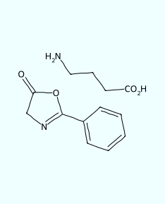 NCCCC(=O)O.O=C1CN=C(c2ccccc2)O1